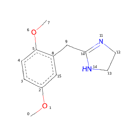 COc1ccc(OC)c(CC2=NCCN2)c1